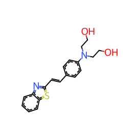 OCCN(CCO)c1ccc(/C=C/c2nc3ccccc3s2)cc1